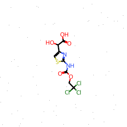 O=C(Nc1nc(C(O)C(=O)O)cs1)OCC(Cl)(Cl)Cl